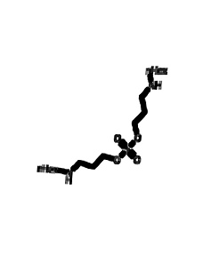 CCCCCCNCCCOS(=O)(=O)OCCCNCCCCCC